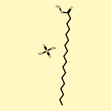 CCCCCCCCCCCCCCCCCC(=O)OO.O=S(=O)(O)O